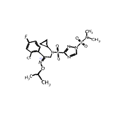 CC(C)O/N=C(\CN(C1CC1)S(=O)(=O)c1ncn(S(=O)(=O)N(C)C)n1)c1ccc(F)cc1Cl